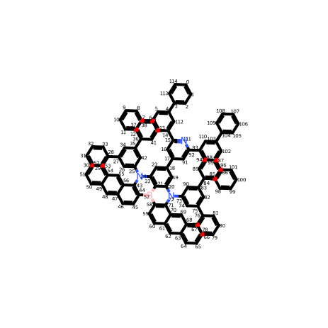 c1ccc(-c2cc(-c3ccccc3)cc(-c3cc(-c4cc5c6c(c4)N(c4cc(-c7ccccc7)cc(-c7ccccc7)c4)c4c(ccc7cc8ccccc8cc47)B6c4ccc6cc7ccccc7cc6c4N5c4cc(-c5ccccc5)cc(-c5ccccc5)c4)cc(-c4cc(-c5ccccc5)cc(-c5ccccc5)c4)n3)c2)cc1